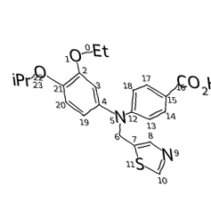 CCOc1cc(N(Cc2cncs2)c2ccc(C(=O)O)cc2)ccc1OC(C)C